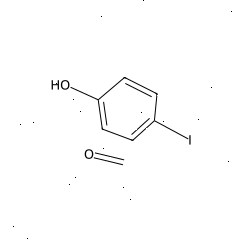 C=O.Oc1ccc(I)cc1